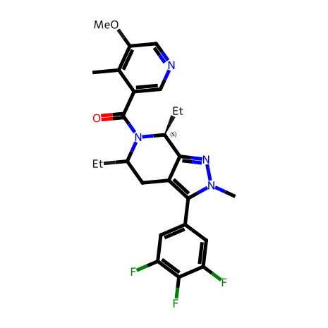 CCC1Cc2c(nn(C)c2-c2cc(F)c(F)c(F)c2)[C@H](CC)N1C(=O)c1cncc(OC)c1C